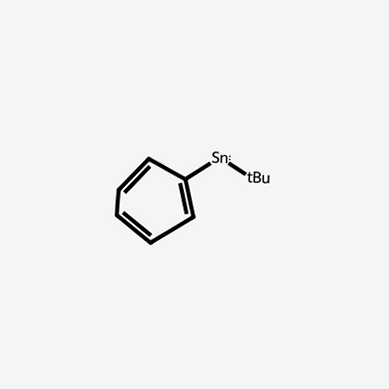 C[C](C)(C)[Sn][c]1ccccc1